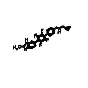 Cc1nc2ccc(-c3c(F)c(F)c(-c4ccc(CNCC5CC5)cc4)c(F)c3F)cc2[nH]1